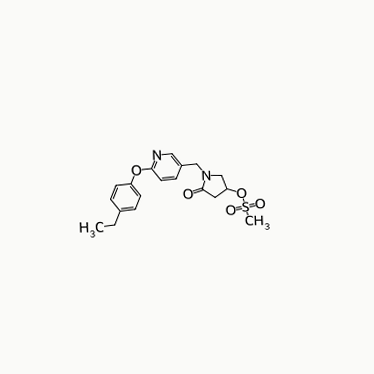 CCc1ccc(Oc2ccc(CN3CC(OS(C)(=O)=O)CC3=O)cn2)cc1